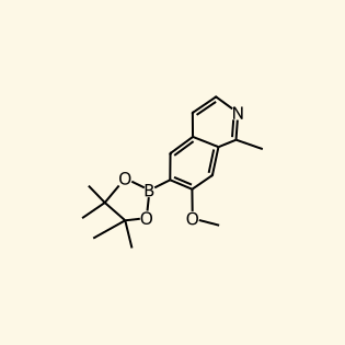 COc1cc2c(C)nccc2cc1B1OC(C)(C)C(C)(C)O1